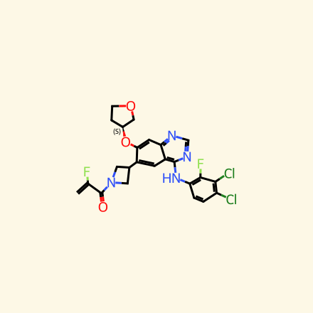 C=C(F)C(=O)N1CC(c2cc3c(Nc4ccc(Cl)c(Cl)c4F)ncnc3cc2O[C@H]2CCOC2)C1